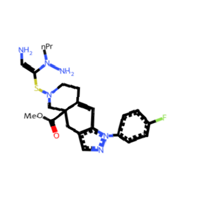 CCCN(N)/C(=C\N)SN1CCC2=Cc3c(cnn3-c3ccc(F)cc3)CC2(C(=O)OC)C1